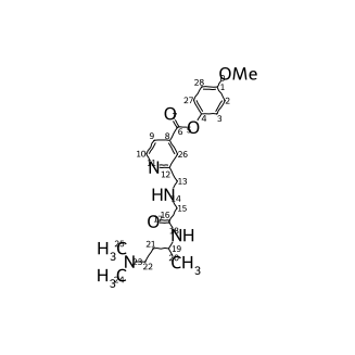 COc1ccc(OC(=O)c2ccnc(CNCC(=O)NC(C)CCN(C)C)c2)cc1